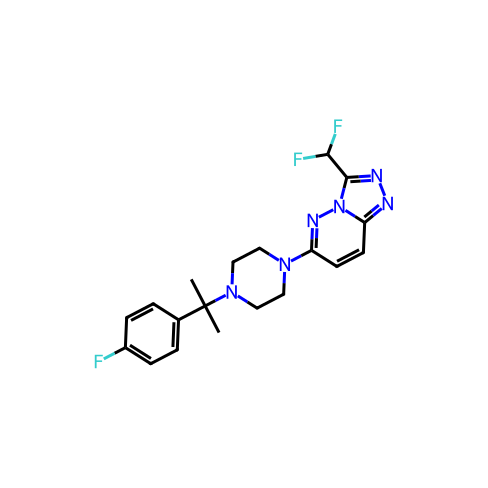 CC(C)(c1ccc(F)cc1)N1CCN(c2ccc3nnc(C(F)F)n3n2)CC1